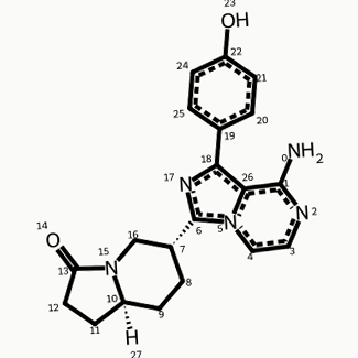 Nc1nccn2c([C@@H]3CC[C@H]4CCC(=O)N4C3)nc(-c3ccc(O)cc3)c12